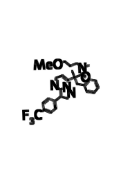 COCCCN(C)C(=O)C(C)(Cc1ccccc1)c1ccnc2c(-c3ccc(C(F)(F)F)cc3)cnn12